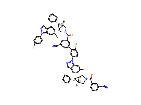 Cc1cc2c(cnn2-c2ccc(F)cc2)cc1[C@@]12CN(C(=O)c3cc(C#N)cc(-c4cc(-n5ncc6cc([C@]78CN(C(=O)c9cccc(C#N)c9)C[C@H]7[C@@H]8c7ccccc7)c(C)cc65)ccc4F)c3)C[C@@H]1[C@H]2c1ccccc1